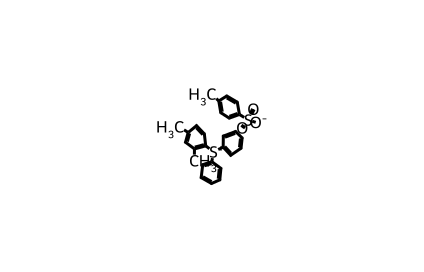 Cc1ccc(S(=O)(=O)[O-])cc1.Cc1ccc([S+](c2ccccc2)c2ccccc2)c(C)c1